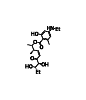 CCNc1cc(C)c(C(=O)OC(C)[C@H](C)/C=C\C(=O)[C@@H](O)[C@@H](O)CC)c(O)c1